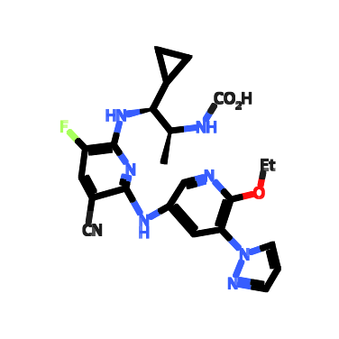 CCOc1ncc(Nc2nc(N[C@@H](C3CC3)[C@H](C)NC(=O)O)c(F)cc2C#N)cc1-n1cccn1